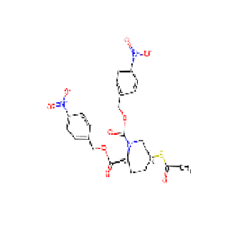 CC(=O)S[C@H]1CC[C@@H](C(=O)OCc2ccc([N+](=O)[O-])cc2)N(C(=O)OCc2ccc([N+](=O)[O-])cc2)C1